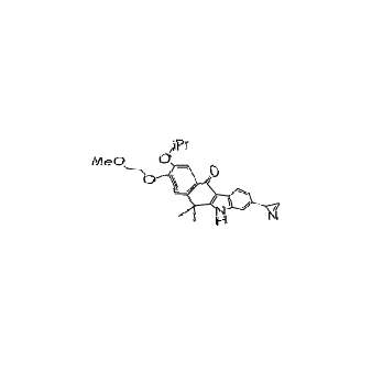 COCCOc1cc2c(cc1OC(C)C)C(=O)c1c([nH]c3cc(C4C=N4)ccc13)C2(C)C